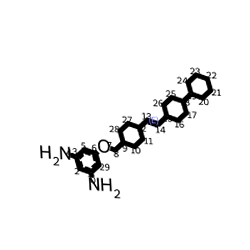 Nc1cc(N)cc(OCC2CCC(/C=C/C3CCC(C4CCCCC4)CC3)CC2)c1